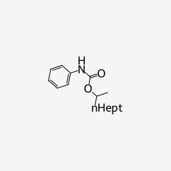 CCCCCCCC(C)OC(=O)Nc1ccccc1